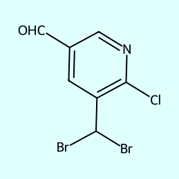 O=Cc1cnc(Cl)c(C(Br)Br)c1